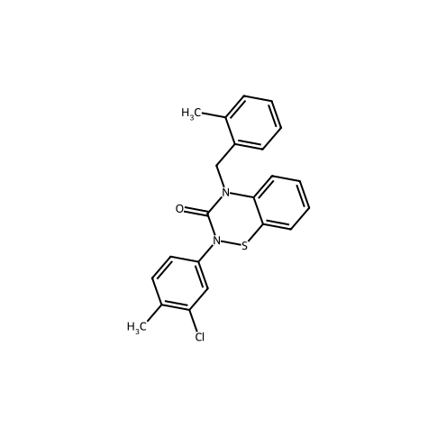 Cc1ccc(N2Sc3ccccc3N(Cc3ccccc3C)C2=O)cc1Cl